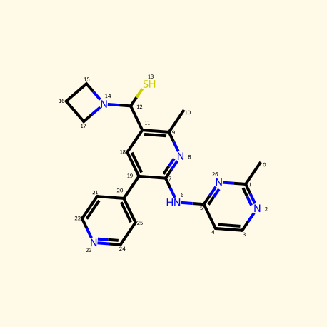 Cc1nccc(Nc2nc(C)c(C(S)N3CCC3)cc2-c2ccncc2)n1